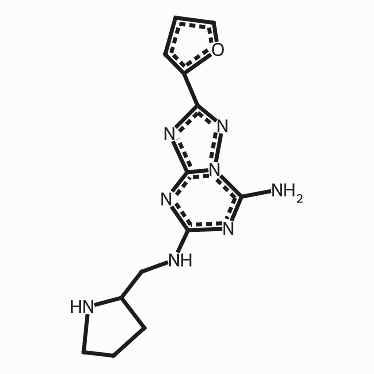 Nc1nc(NCC2CCCN2)nc2nc(-c3ccco3)nn12